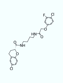 O=C(COc1ccc(Cl)c(F)c1)NCCCCNC(=O)[C@H]1CCc2cc(Cl)ccc2O1